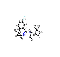 CC/C(=C\C1=NC2(C)CC2(C)c2ccc(F)cc21)[C@@H]1CCC1(C)C